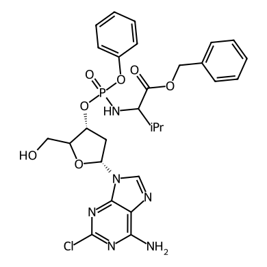 CC(C)C(NP(=O)(Oc1ccccc1)O[C@@H]1C[C@H](n2cnc3c(N)nc(Cl)nc32)OC1CO)C(=O)OCc1ccccc1